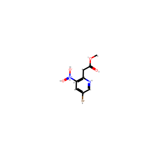 COC(=O)Cc1ncc(Br)cc1[N+](=O)[O-]